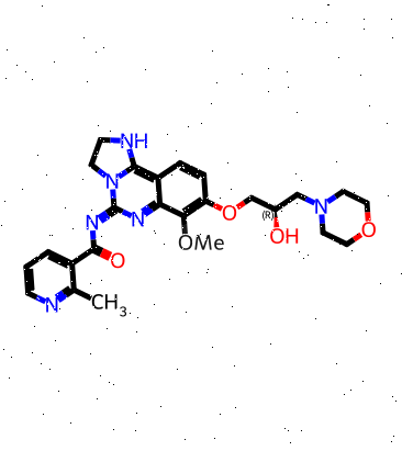 COc1c(OC[C@H](O)CN2CCOCC2)ccc2c3n(c(=NC(=O)c4cccnc4C)nc12)CCN3